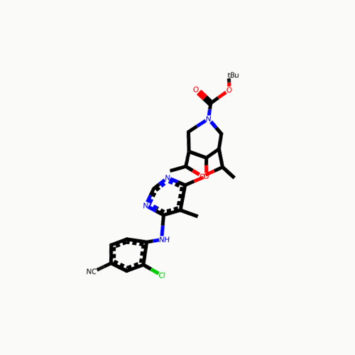 Cc1c(Nc2ccc(C#N)cc2Cl)ncnc1OC1C2CN(C(=O)OC(C)(C)C)CC1C(C)OC2C